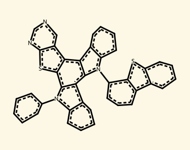 c1ccc(-n2c3ccccc3c3c2c2sc4ncncc4c2c2c4ccccc4n(-c4cccc5c4sc4ccccc45)c23)cc1